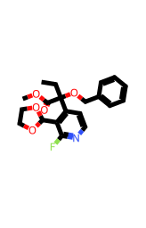 CCC(OCc1ccccc1)(C(=O)OC)c1ccnc(F)c1C1OCCO1